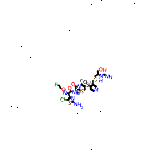 N=CNC(CO)CSCc1cnccc1SC1=C(C(=O)O)N2C(=O)[C@@H](NC(=O)/C(=N\OCCF)c3nc(N)sc3Cl)[C@@H]2SC1